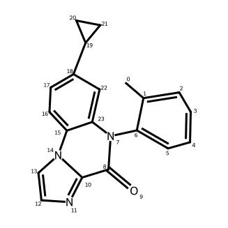 Cc1ccccc1-n1c(=O)c2nccn2c2ccc(C3CC3)cc21